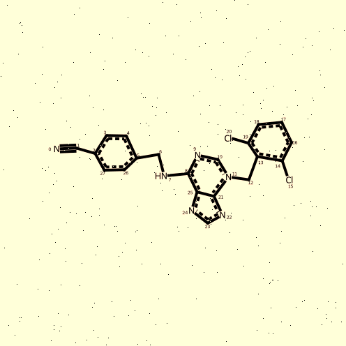 N#Cc1ccc(CNc2ncn(Cc3c(Cl)cccc3Cl)c3ncnc2-3)cc1